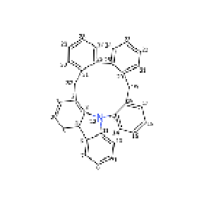 C1=CC2=C3C(C1)c1ccccc1N3c1ccccc1Cc1ccccc1-c1ccccc1C2